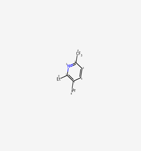 CCc1nc(C(F)(F)F)ccc1C(C)C